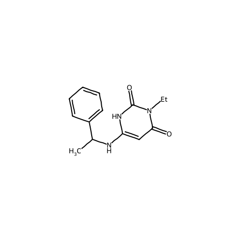 CCn1c(=O)cc(NC(C)c2ccccc2)[nH]c1=O